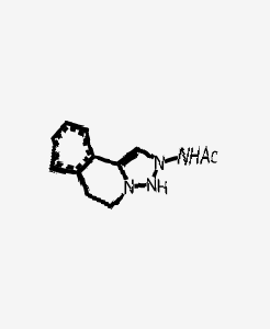 CC(=O)NN1C=C2c3ccccc3CCN2N1